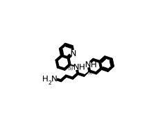 NCCCC(C[C@@H]1Cc2ccccc2CN1)N[C@H]1CCCc2cccnc21